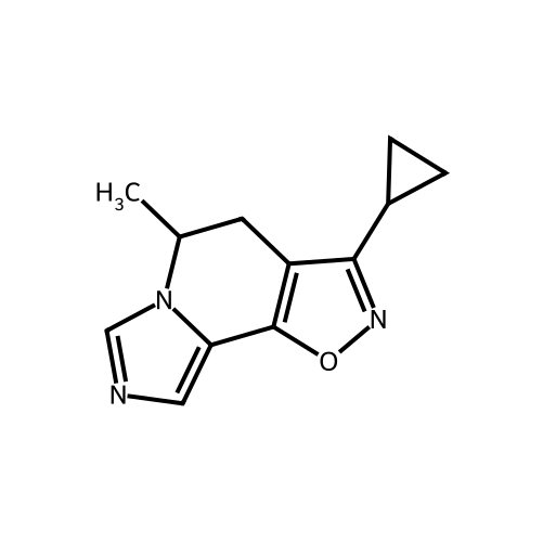 CC1Cc2c(C3CC3)noc2-c2cncn21